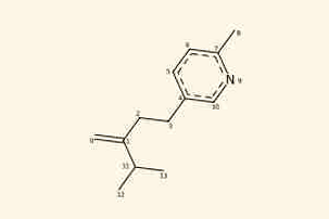 C=C(CCc1ccc(C)nc1)C(C)C